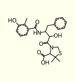 Cc1c(O)cccc1C(=O)NC(Cc1ccccc1)C(O)C(=O)N1CSC(C)(C)C1C(=O)O